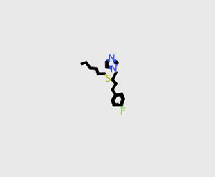 CCCCCCSC(CCc1ccc(F)cc1)Cn1ccnc1